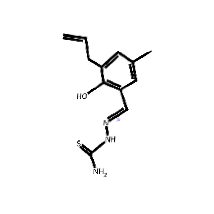 C=CCc1cc(C)cc(/C=N/NC(N)=S)c1O